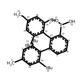 Cc1cc(C(C)(C)C)c(-c2cccc(P(O)O)c2-c2c(C(C)(C)C)cc(C)cc2C(C)(C)C)c(C(C)(C)C)c1